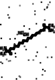 CC(N)C(=O)CCSCCCCCCCCCCSCCC(=O)C(C)N.Cl.Cl